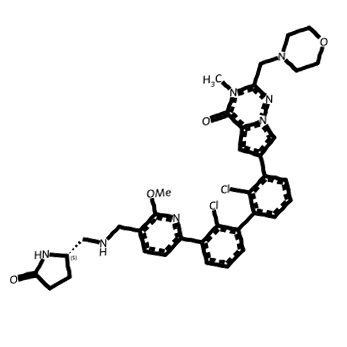 COc1nc(-c2cccc(-c3cccc(-c4cc5c(=O)n(C)c(CN6CCOCC6)nn5c4)c3Cl)c2Cl)ccc1CNC[C@@H]1CCC(=O)N1